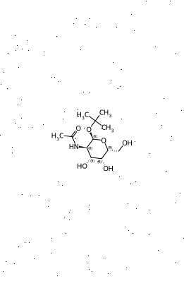 CC(=O)N[C@H]1[C@@H](OC(C)(C)C)O[C@H](CO)[C@H](O)[C@@H]1O